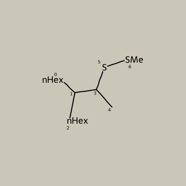 CCCCCCC(CCCCCC)C(C)SSC